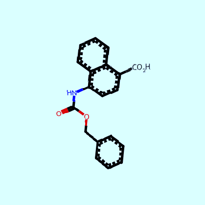 O=C(Nc1ccc(C(=O)O)c2ccccc12)OCc1ccccc1